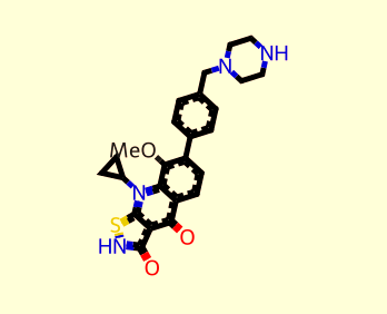 COc1c(-c2ccc(CN3CCNCC3)cc2)ccc2c(=O)c3c(=O)[nH]sc3n(C3CC3)c12